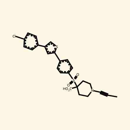 CC#CN1CCC(C(=O)O)(S(=O)(=O)c2ccc(-c3cc(-c4ccc(Cl)cc4)cs3)cc2)CC1